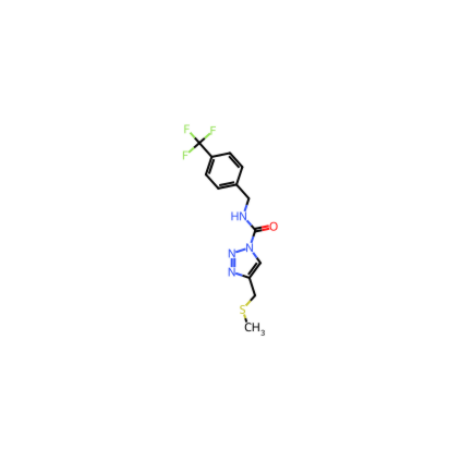 CSCc1cn(C(=O)NCc2ccc(C(F)(F)F)cc2)nn1